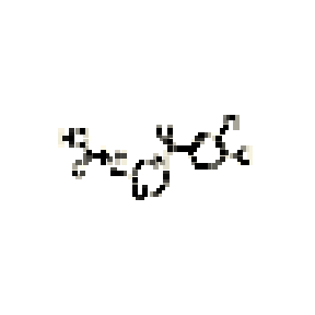 O=C(O)NC[C@H]1CN(C(=O)c2ccc(Cl)c(Cl)c2)CCO1